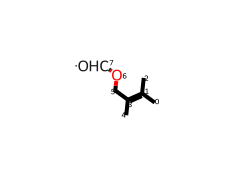 CC(C)=C(C)CO[C]=O